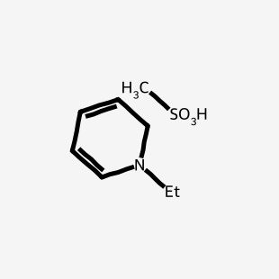 CCN1C=CC=CC1.CS(=O)(=O)O